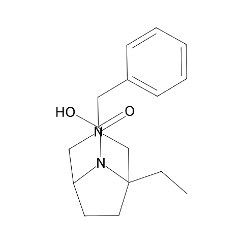 CCC12CCC(CN(Cc3ccccc3)C1)N2C(=O)O